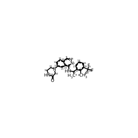 Cc1c([C@@H](C)Nc2nncc3ccc(N4CCNC(=O)C4)cc23)cccc1C(F)(F)F